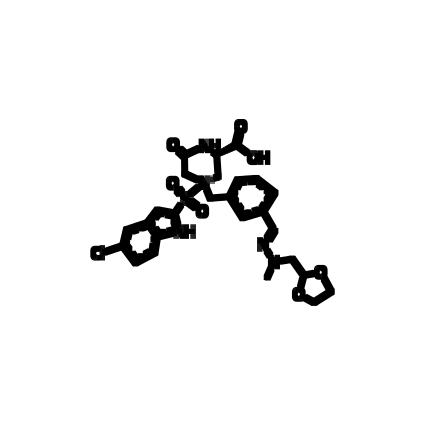 CN(CC1OCCO1)N=Cc1cccc(C[N+]2(S(=O)(=O)c3cc4cc(Cl)ccc4[nH]3)CC(=O)N[C@@H](C(=O)O)C2)c1